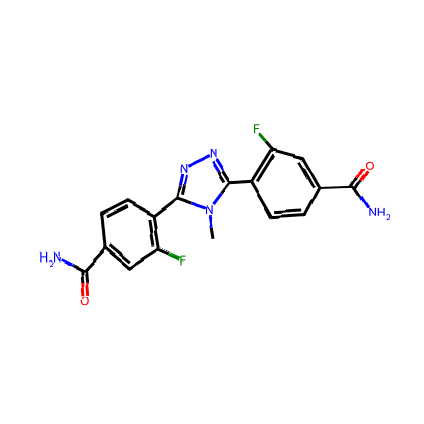 Cn1c(-c2ccc(C(N)=O)cc2F)nnc1-c1ccc(C(N)=O)cc1F